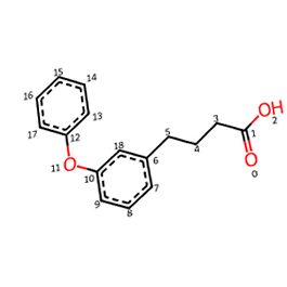 O=C(O)CCCc1cccc(Oc2ccccc2)c1